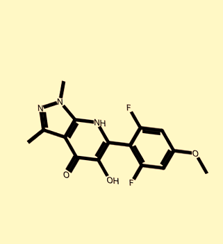 COc1cc(F)c(-c2[nH]c3c(c(C)nn3C)c(=O)c2O)c(F)c1